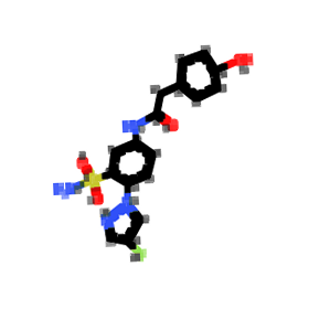 NS(=O)(=O)c1cc(NC(=O)Cc2ccc(O)cc2)ccc1-n1cc(F)cn1